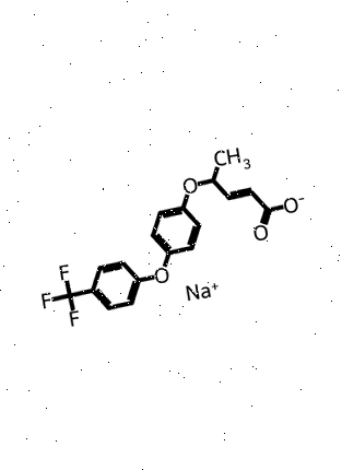 CC(C=CC(=O)[O-])Oc1ccc(Oc2ccc(C(F)(F)F)cc2)cc1.[Na+]